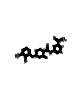 CC1CN(Cc2cccc(C(F)(F)F)c2Cl)CCN1C(=O)Oc1cncc(C(N)=O)c1